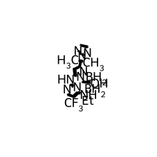 BC(B)(O)Cn1nc(C(C)(C)n2nccn2)cc1Nc1ncc(C(F)(F)F)c(NCC)n1